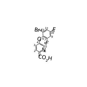 O=C(O)c1ccc(Oc2c(F)cc(F)cc2Br)cn1